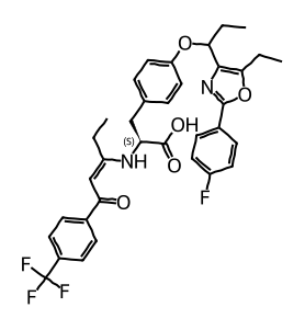 CCC(=CC(=O)c1ccc(C(F)(F)F)cc1)N[C@@H](Cc1ccc(OC(CC)c2nc(-c3ccc(F)cc3)oc2CC)cc1)C(=O)O